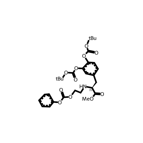 COC(=O)[C@H](Cc1ccc(OC(=O)OC(C)(C)C)c(OC(=O)OC(C)(C)C)c1)NCCOC(=O)Oc1ccccc1